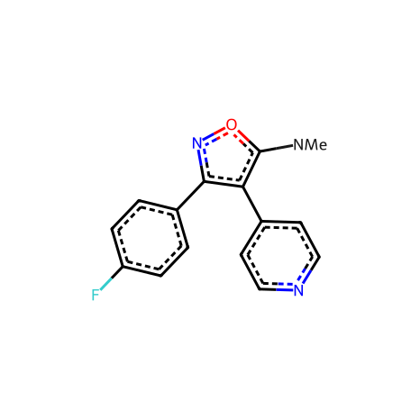 CNc1onc(-c2ccc(F)cc2)c1-c1ccncc1